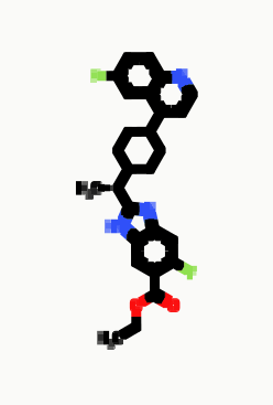 CCOC(=O)c1cc2[nH]c([C@H](C)C3CCC(c4ccnc5ccc(F)cc45)CC3)nc2cc1F